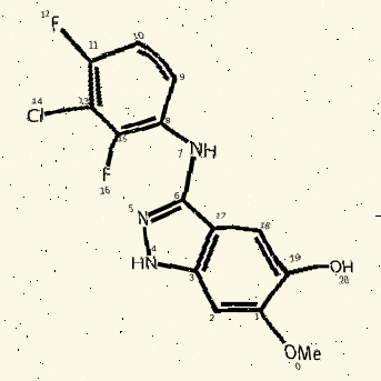 COc1cc2[nH]nc(Nc3ccc(F)c(Cl)c3F)c2cc1O